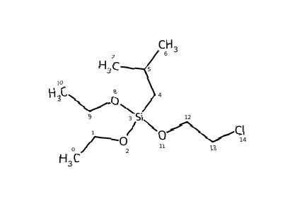 CCO[Si](CC(C)C)(OCC)OCCCl